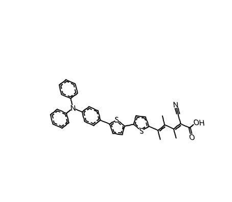 CC(=C(/C#N)C(=O)O)/C(C)=C(\C)c1ccc(-c2ccc(-c3ccc(N(c4ccccc4)c4ccccc4)cc3)s2)s1